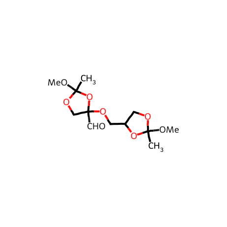 COC1(C)OCC(COC2(C=O)COC(C)(OC)O2)O1